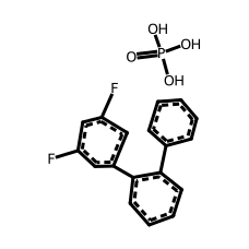 Fc1cc(F)cc(-c2ccccc2-c2ccccc2)c1.O=P(O)(O)O